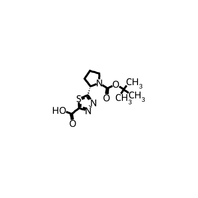 CC(C)(C)OC(=O)N1CCC[C@H]1c1nnc(C(=O)O)s1